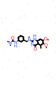 COc1cc2[nH]c(N(C)Cc3cccc(NC(=O)N(C)C)c3)nc(=O)c2c(C)c1OC